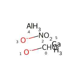 O=C[O-].O=[N+]([O-])[O-].[AlH3].[GaH3]